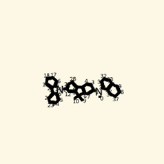 CN(c1ccc2c(c1)C(C)(C)c1cc(-n3c4ccccc4c4ccccc43)ccc1-2)c1cccc2c1CCC=C2